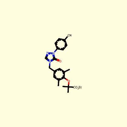 CCOC(=O)C(C)(C)Oc1c(C)cc(Cn2cnn(-c3ccc(C#N)cc3)c2=O)cc1C